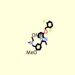 COCCN(C)Cc1cc(-c2c(C)nc3c(OCc4c(F)cccc4F)cccn23)ccc1OC